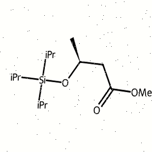 COC(=O)C[C@H](C)O[Si](C(C)C)(C(C)C)C(C)C